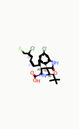 C=C(/C=C\C=C(\Cl)CF)[C@H]1[C@H](C(=O)O)N[C@H](CC(C)(C)C)[C@]12C(=O)Nc1cc(Cl)ccc12